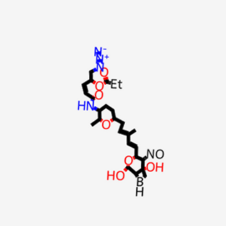 CCC(=O)OC(/C=C\C(=O)NC1CCC(C/C=C(C)/C=C/C2OC(O)C3BCC3(O)C2N=O)OC1C)CN=[N+]=[N-]